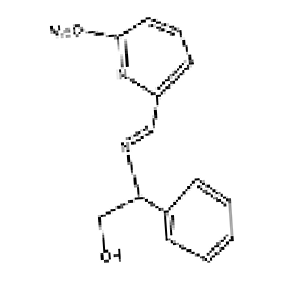 COc1cccc(C=NC(CO)c2ccccc2)n1